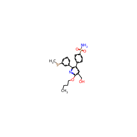 CCCCOc1nc(-c2cccc(SC)c2)c(-c2ccc(S(N)(=O)=O)cc2)cc1CO